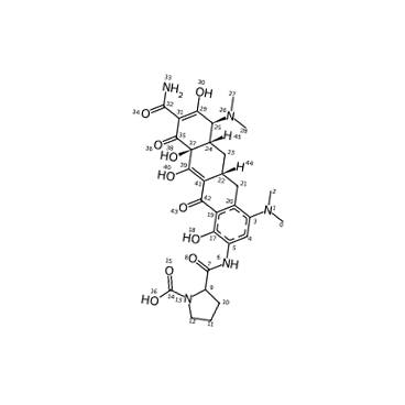 CN(C)c1cc(NC(=O)C2CCCN2C(=O)O)c(O)c2c1C[C@H]1C[C@H]3[C@H](N(C)C)C(O)=C(C(N)=O)C(=O)[C@@]3(O)C(O)=C1C2=O